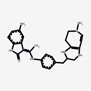 C/C(Nc1ccc(CC2CNC3=C(CCN(N)C=C3)N2)cc1)=C1/C(=O)Nc2ccc(N)cc21